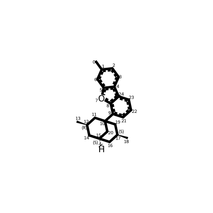 Cc1ccc2c(c1)oc1c(C34C[C@H](C)C[C@H](C[C@H](C)C3)C4)cccc12